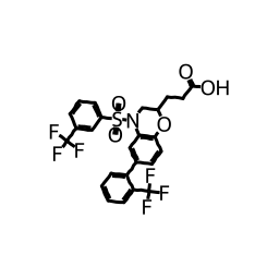 O=C(O)CCC1CN(S(=O)(=O)c2cccc(C(F)(F)F)c2)c2cc(-c3ccccc3C(F)(F)F)ccc2O1